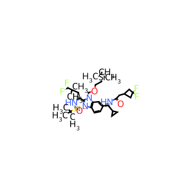 CC(C)(C[C@H](N[S@+]([O-])C(C)(C)C)c1nc2ccc([C@H](NC(=O)CC3CC(F)(F)C3)C3CC3)cc2n1COCC[Si](C)(C)C)C(F)F